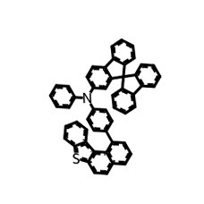 c1ccc(N(c2ccc(-c3cccc4ccc5sc6ccccc6c5c34)cc2)c2ccc3c(c2)C2(c4ccccc4-c4ccccc42)c2ccccc2-3)cc1